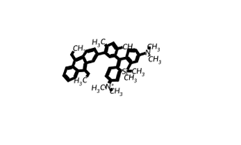 CCc1c2ccccc2c(CC)c2cc(-c3cc(C4=C5C=CC(=[N+](C)C)C=C5[Si](C)(C)c5cc(N(C)C)ccc54)c(C)cc3C)ccc12